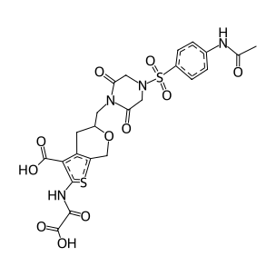 CC(=O)Nc1ccc(S(=O)(=O)N2CC(=O)N(CC3Cc4c(sc(NC(=O)C(=O)O)c4C(=O)O)CO3)C(=O)C2)cc1